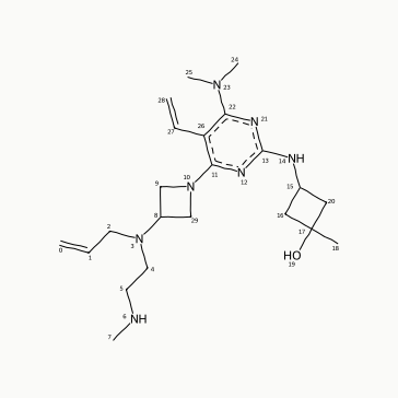 C=CCN(CCNC)C1CN(c2nc(NC3CC(C)(O)C3)nc(N(C)C)c2C=C)C1